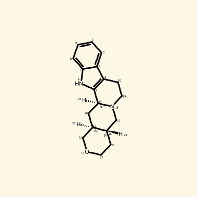 c1ccc2c3c([nH]c2c1)[C@@H]1C[C@@H]2COCC[C@H]2CN1CC3